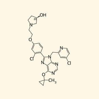 CC1(Oc2ncnc3c2nc(-c2ccc(OCCN4CC[C@@H](O)C4)cc2Cl)n3Cc2cc(Cl)ccn2)CC1